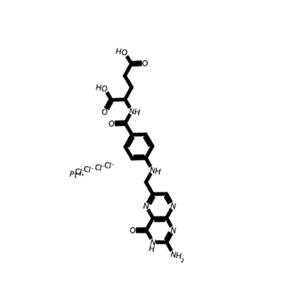 Nc1nc2ncc(CNc3ccc(C(=O)NC(CCC(=O)O)C(=O)O)cc3)nc2c(=O)[nH]1.[Cl-].[Cl-].[Cl-].[Cl-].[Pt+4]